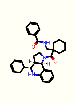 O=C(NCC1(C(=O)N2CC[C@@H]3[C@H](C4C=CC=CC4)Nc4ccccc4[C@@H]32)CCCCC1)c1ccccc1